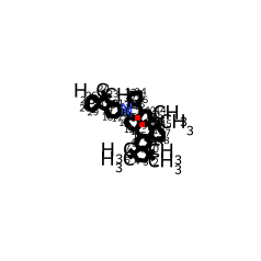 CC1(C)CCC(C)(C)c2cc(-c3ccc(N(c4ccc5c(c4)C(C)(C)c4ccccc4-5)c4ccccc4-c4ccc5c(c4)[Si](C)(C)c4ccccc4-5)cc3)ccc21